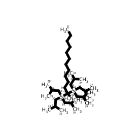 CCCCCCCCCCCC(N)([Si](CC(C)C)(CC(C)C)CC(C)C)[Si](CC(C)C)(CC(C)C)CC(C)C